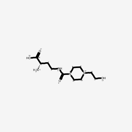 N[C@@H](CCNC(=O)N1CCN(CCO)CC1)C(=O)O